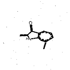 C=C1Nc2c(C)cccc2C1=O